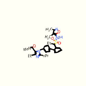 CCCc1nc(CC)c(C(=O)NC)n1Cc1ccc(-c2ccccc2C(CC)S(=O)(=O)Nc2onc(C)c2C)cc1